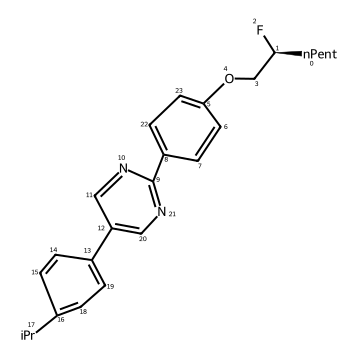 CCCCC[C@H](F)COc1ccc(-c2ncc(-c3ccc(C(C)C)cc3)cn2)cc1